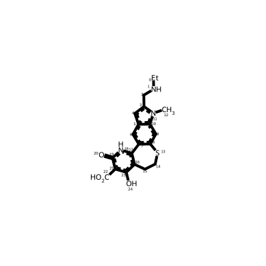 CCNCc1cc2cc3c(cc2n1C)SCCc1c-3[nH]c(=O)c(C(=O)O)c1O